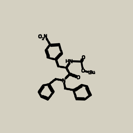 CC(C)(C)OC(=O)NC(Cc1ccc([N+](=O)[O-])cc1)C(=O)N(Cc1ccccc1)Cc1ccccc1